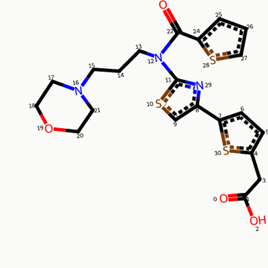 O=C(O)Cc1ccc(-c2csc(N(CCCN3CCOCC3)C(=O)c3cccs3)n2)s1